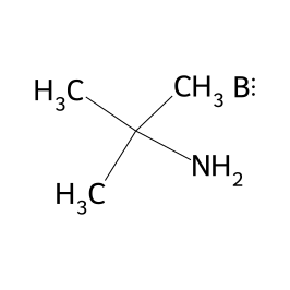 CC(C)(C)N.[B]